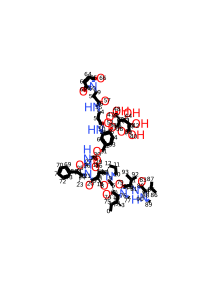 CC[C@H](C)[C@@H]([C@@H](CC(=O)N1CCC[C@H]1[C@H](OC)[C@@H](C)C(=O)N[C@H](C)[C@@H](OCNC(=O)OCc1ccc(O[C@H]2O[C@@H](O)[C@H](O)[C@@H](O)[C@@H]2C(=O)O)c(NC(=O)CCNC(=O)CCN2C(=O)C=CC2=O)c1)c1ccccc1)OC)N(C)C(=O)[C@@H](NC(=O)[C@H](C(C)C)N(C)C)C(C)C